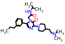 CCCc1cccc(-c2cnc(N3CCC(CCN(C)C)CC3)c(=O)n2CC(=O)NC(C)C)c1